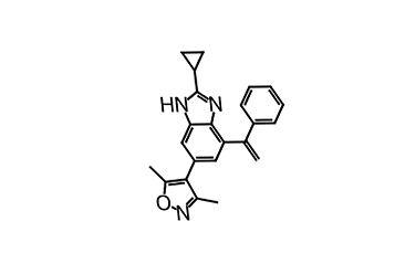 C=C(c1ccccc1)c1cc(-c2c(C)noc2C)cc2[nH]c(C3CC3)nc12